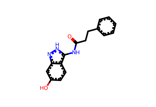 O=C(CCc1ccccc1)Nc1[nH]nc2cc(O)ccc12